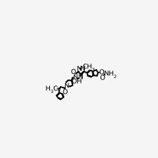 C[C@H](CC(=O)N1CCC(O)(Cn2cnc3c(-c4ccc5c(c4)CC(OC(N)=O)C5)n(C)nc3c2=O)CC1)c1ccccc1